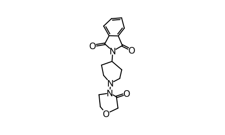 O=C1c2ccccc2C(=O)N1C1CCN(N2CCOCC2=O)CC1